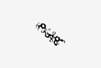 N#Cc1ccc(N2C(=O)C3C4CC(CN4C(=O)Nc4cccc(C(F)(F)F)c4)N3C2=O)c2cccnc12